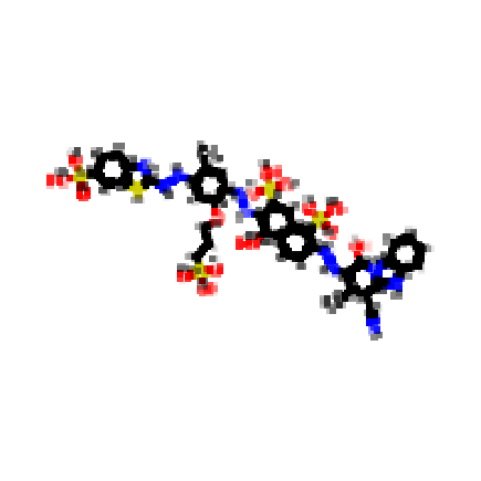 Cc1cc(N=Nc2c(S(=O)(=O)O)cc3c(S(=O)(=O)O)c(N=Nc4c(C)c(C#N)c5nc6ccccc6n5c4O)ccc3c2O)c(OCCCS(=O)(=O)O)cc1N=Nc1nc2ccc(S(=O)(=O)O)cc2s1